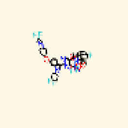 O=C(N[C@]1(C(=O)O)[C@H]2CC3C[C@H]1C[C@@](F)(C3)C2)c1cnc(-c2cn(C3CCC(F)(F)CC3)c3cc(O[C@H]4CC[C@H](N5CC(F)(F)C5)CC4)ccc23)nc1C(F)(F)F